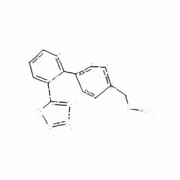 NNCc1ccc(-c2ccccc2-c2nnn[nH]2)cc1